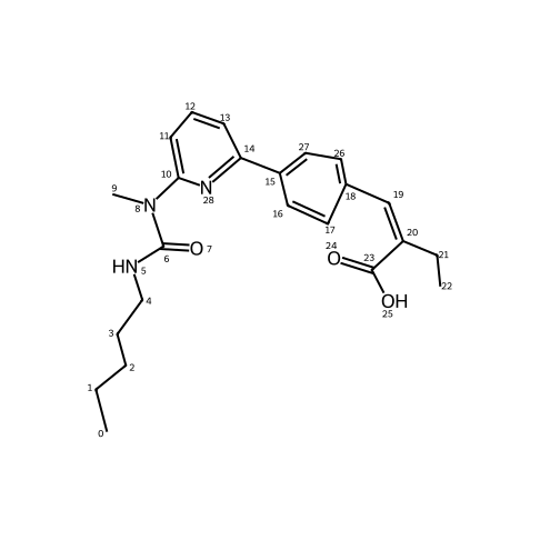 CCCCCNC(=O)N(C)c1cccc(-c2ccc(C=C(CC)C(=O)O)cc2)n1